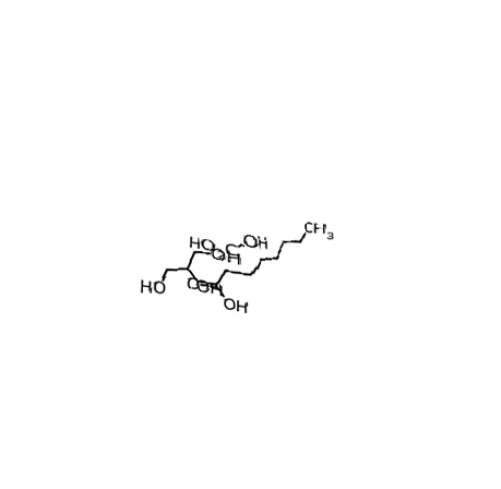 CCCCCCCC(=O)O.O=C(O)O.OCC(O)CO